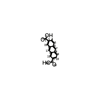 O=C(O)c1ccc2cc3ccc(C(=O)O)cc3cc2c1